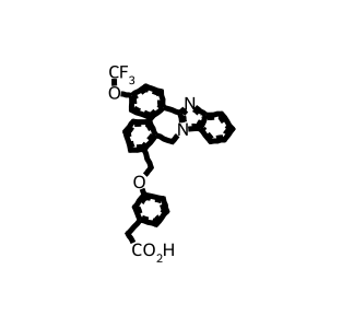 O=C(O)Cc1cccc(OCc2ccccc2Cn2c(-c3ccc(OC(F)(F)F)cc3)nc3ccccc32)c1